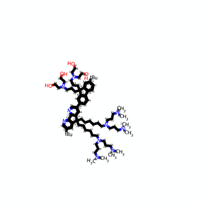 CN(C)CCCN(CCCCCCC1(CCCCCCN(CCCN(C)C)CCCN(C)C)c2cc(-c3ccc4c(c3)C(CCCN(CCO)CCO)(CCCN(CCO)CCO)c3cc(C(C)(C)C)ccc3-4)cnc2-c2ncc(C(C)(C)C)cc21)CCCN(C)C